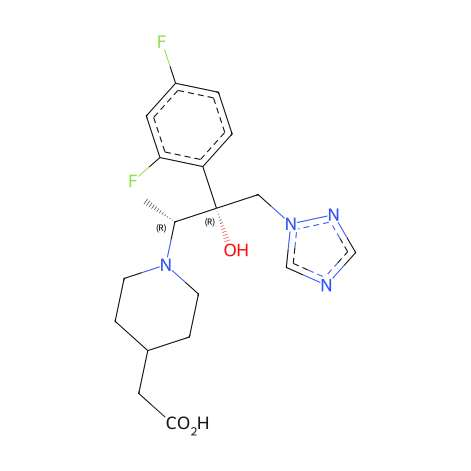 C[C@@H](N1CCC(CC(=O)O)CC1)[C@](O)(Cn1cncn1)c1ccc(F)cc1F